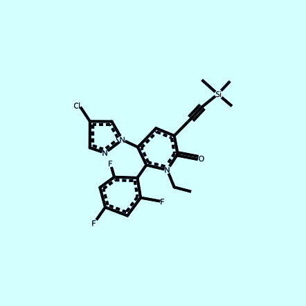 CCn1c(-c2c(F)cc(F)cc2F)c(-n2cc(Cl)cn2)cc(C#C[Si](C)(C)C)c1=O